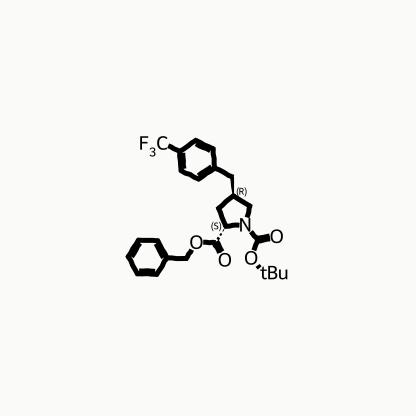 CC(C)(C)OC(=O)N1C[C@H](Cc2ccc(C(F)(F)F)cc2)C[C@H]1C(=O)OCc1ccccc1